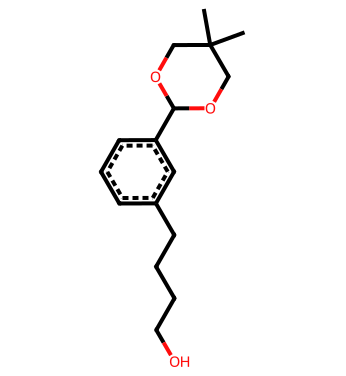 CC1(C)COC(c2cccc(CCCCO)c2)OC1